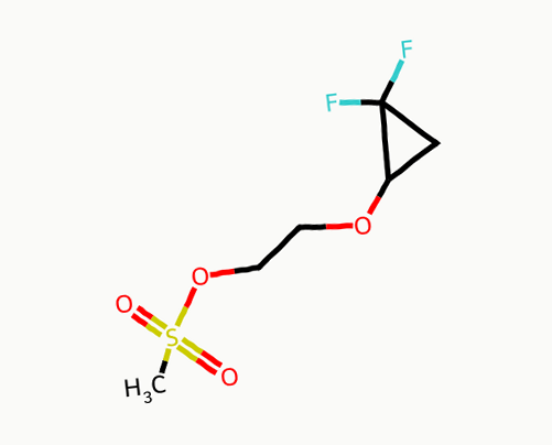 CS(=O)(=O)OCCOC1CC1(F)F